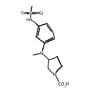 CN(c1cccc(NS(C)(=O)=O)c1)C1CCN(C(=O)O)C1